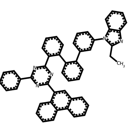 CCc1nc2ccccc2n1-c1cccc(-c2ccccc2-c2ccccc2-c2nc(-c3ccccc3)nc(-c3cc4ccccc4c4ccccc34)n2)c1